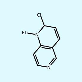 CCN1c2ccncc2C=CC1Cl